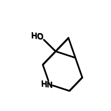 OC12CNCCC1C2